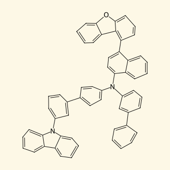 c1ccc(-c2cccc(N(c3ccc(-c4cccc(-n5c6ccccc6c6ccccc65)c4)cc3)c3ccc(-c4cccc5oc6ccccc6c45)c4ccccc34)c2)cc1